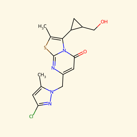 Cc1sc2nc(Cn3nc(Cl)cc3C)cc(=O)n2c1C1CC1CO